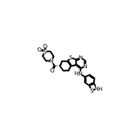 O=C([C@H]1CCc2c(sc3ncnc(Nc4ccc5[nH]sc5c4)c23)C1)N1CCS(=O)(=O)CC1